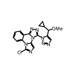 COC(c1cnnn1-c1nnc2c3ccccc3n3c(Cl)ncc3n12)C1CC1